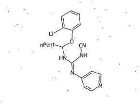 CCCCCC(NC(=Nc1ccncc1)NC#N)Oc1ccccc1Cl